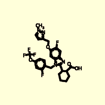 Cn1ccc(COc2cc3c(cc2F)nc(C2CCCCC2C(=O)O)n3Cc2ccc(OC(F)(F)F)cc2F)n1